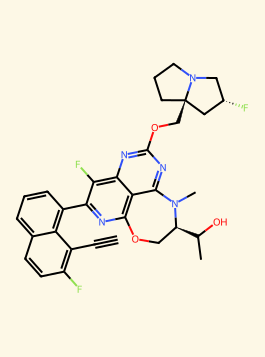 C#Cc1c(F)ccc2cccc(-c3nc4c5c(nc(OC[C@@]67CCCN6C[C@H](F)C7)nc5c3F)N(C)[C@@H](C(C)O)CO4)c12